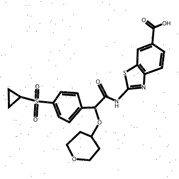 O=C(O)c1ccc2nc(NC(=O)C(OC3CCOCC3)c3ccc(S(=O)(=O)C4CC4)cc3)sc2c1